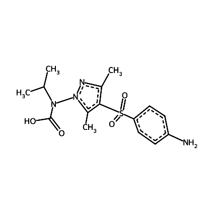 Cc1nn(N(C(=O)O)C(C)C)c(C)c1S(=O)(=O)c1ccc(N)cc1